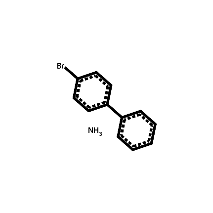 Brc1ccc(-c2ccccc2)cc1.N